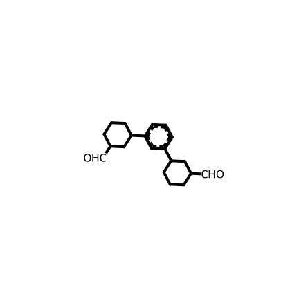 O=CC1CCCC(c2cccc(C3CCCC(C=O)C3)c2)C1